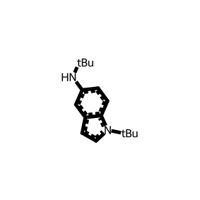 CC(C)(C)Nc1ccc2c(ccn2C(C)(C)C)c1